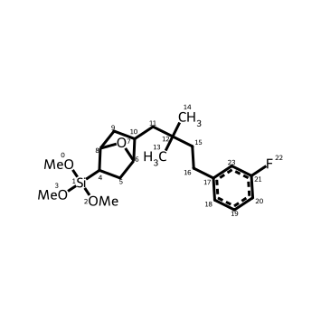 CO[Si](OC)(OC)C1CC2OC1CC2CC(C)(C)CCc1cccc(F)c1